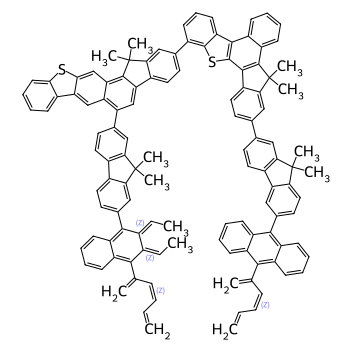 C=C/C=C\C(=C)c1c(=C/C)/c(=C\C)c(-c2ccc3c(c2)C(C)(C)c2cc(-c4cc5c(c6cc7sc8ccccc8c7cc46)C(C)(C)c4cc(-c6cccc7c6sc6c8c(c9ccccc9c67)C(C)(C)c6cc(-c7ccc9c(c7)C(C)(C)c7ccc(-c%10c%11ccccc%11c(C(=C)/C=C\C=C)c%11ccccc%10%11)cc7-9)ccc6-8)ccc4-5)ccc2-3)c2ccccc12